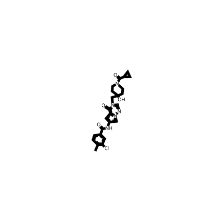 Cc1ccc(C(=O)Nc2cc3c(=O)n(CC4(O)CCN(C(=O)C5CC5)CC4)cnn3c2)cc1Cl